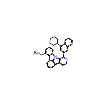 CC(C)(C)Cc1cccc2c1c1cccc3c4ccnc(-c5cc(C6CCCCC6)c6ccccc6c5)c4n2c31